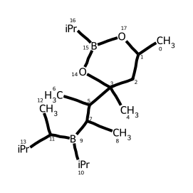 CC1CC(C)(C(C)C(C)B(C(C)C)C(C)C(C)C)OB(C(C)C)O1